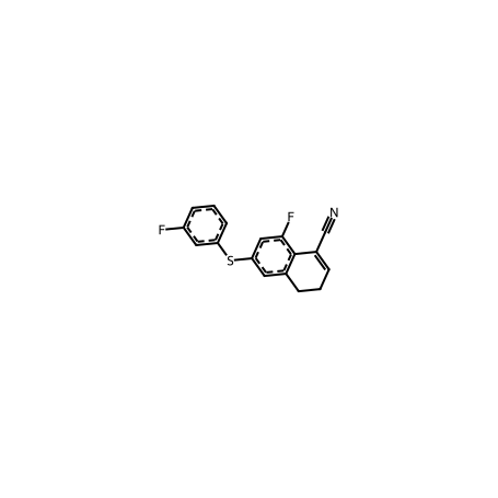 N#CC1=CCCc2cc(Sc3cccc(F)c3)cc(F)c21